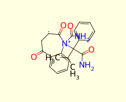 CC(C)C(C(N)=O)(c1ccccc1)[N+]1(C(N)=O)C(=O)[CH]CC(=O)c2ccccc21